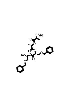 CO[C@@H](C)C(=O)O[C@@H](C)C(=O)O[C@@H](COCc1ccccc1)C(=O)O[C@@H](COCc1ccccc1)C(C)=O